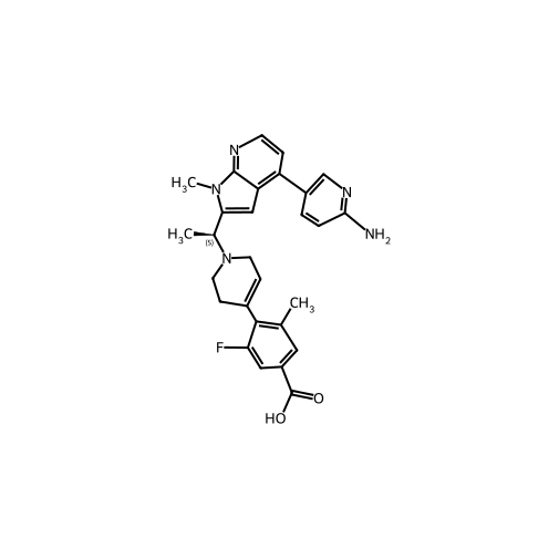 Cc1cc(C(=O)O)cc(F)c1C1=CCN([C@@H](C)c2cc3c(-c4ccc(N)nc4)ccnc3n2C)CC1